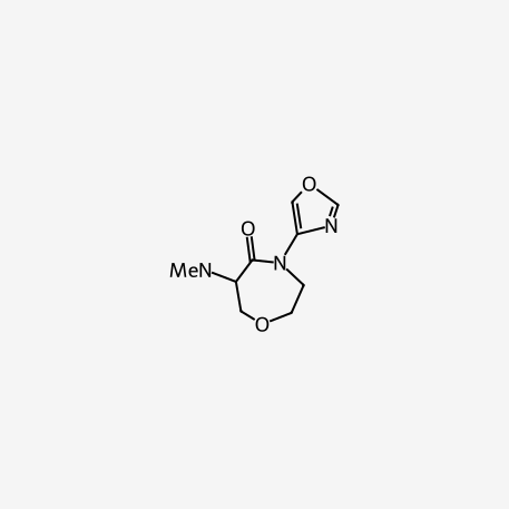 CNC1COCCN(c2cocn2)C1=O